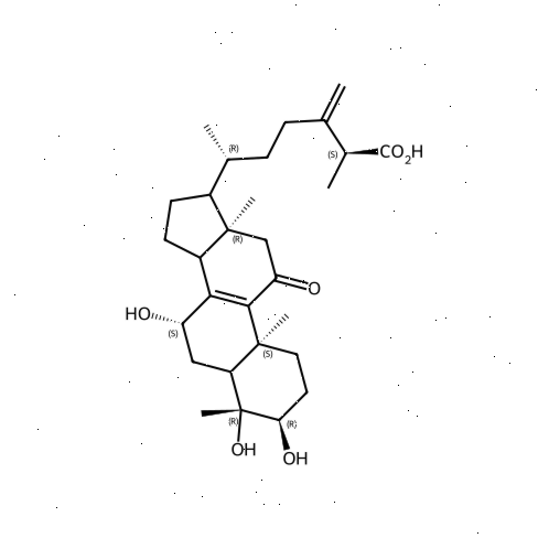 C=C(CC[C@@H](C)C1CCC2C3=C(C(=O)C[C@@]21C)[C@@]1(C)CC[C@@H](O)[C@](C)(O)C1C[C@@H]3O)[C@H](C)C(=O)O